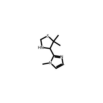 Cn1c[c]nc1C1NCSC1(C)C